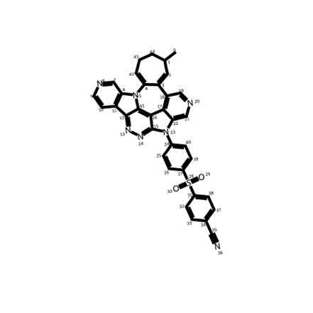 CC1C=c2c(n3c4cnccc4c4nnc5c(c6c2cncc6n5-c2ccc(S(=O)(=O)c5ccc(C#N)cc5)cc2)c43)=CCC1